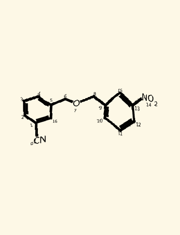 N#Cc1cccc(COCc2cccc([N+](=O)[O-])c2)c1